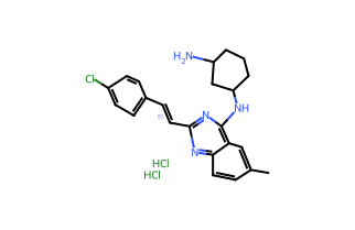 Cc1ccc2nc(/C=C/c3ccc(Cl)cc3)nc(NC3CCCC(N)C3)c2c1.Cl.Cl